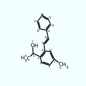 Cc1ccc(C(C)O)c(C=Cc2ccccc2)c1